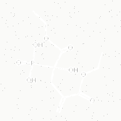 C=C(CC(O)(C(=O)OCC)P(=O)(O)O)C(=O)OCC